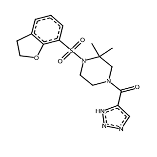 CC1(C)CN(C(=O)c2cnn[nH]2)CCN1S(=O)(=O)c1cccc2c1OCC2